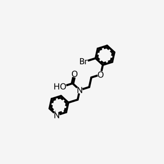 O=C(O)N(CCOc1ccccc1Br)Cc1cccnc1